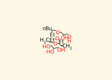 C=CCOCC=C.CCCCC(CC)COCC(O)CO.CCOCC.OCC(O)CO